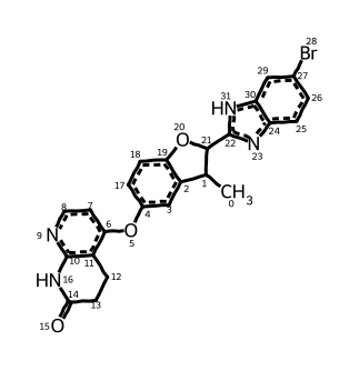 CC1c2cc(Oc3ccnc4c3CCC(=O)N4)ccc2OC1c1nc2ccc(Br)cc2[nH]1